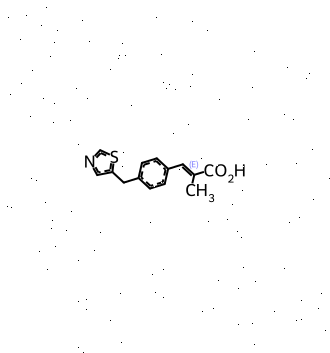 C/C(=C\c1ccc(Cc2cncs2)cc1)C(=O)O